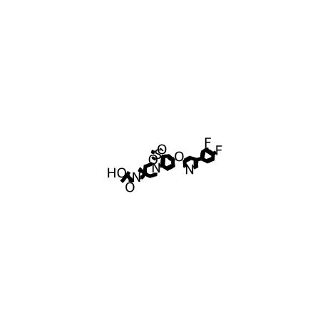 CC(C)(O)C(=O)N1CC2(CCN(c3ccc(Oc4cncc(-c5ccc(F)c(F)c5)c4)cc3S(C)(=O)=O)CC2)C1